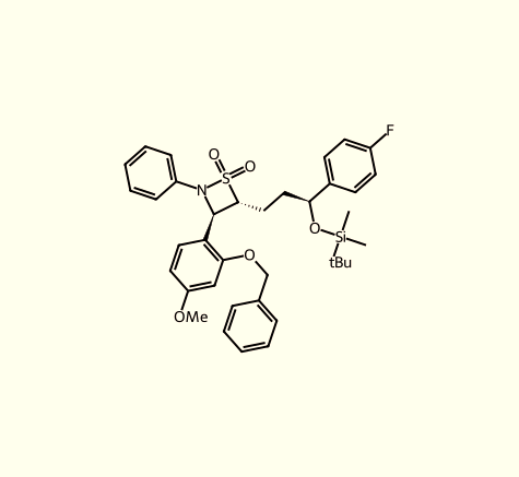 COc1ccc([C@@H]2[C@@H](CC[C@H](O[Si](C)(C)C(C)(C)C)c3ccc(F)cc3)S(=O)(=O)N2c2ccccc2)c(OCc2ccccc2)c1